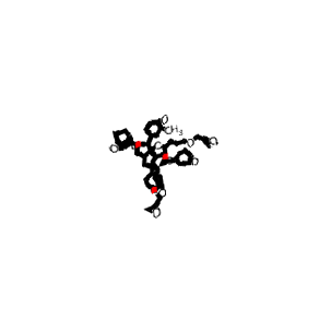 CCC(C1CCC2OC2(C)C1)C(OC(CCCOCC1CO1)C1CO1)([C](CCCCOCC1CO1)CCC1CCC2OC2C1)C(CCC1=C2OC23CCC1C3)CCC1CCC2OC2C1